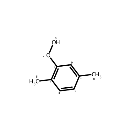 Cc1ccc(C)c(OO)c1